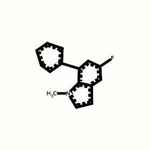 Cn1ccc2cc(F)cc(-c3ccccc3)c21